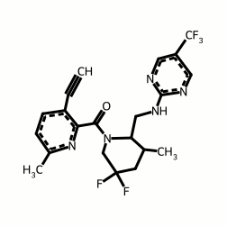 C#Cc1ccc(C)nc1C(=O)N1CC(F)(F)CC(C)C1CNc1ncc(C(F)(F)F)cn1